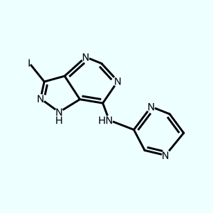 Ic1n[nH]c2c(Nc3cnccn3)ncnc12